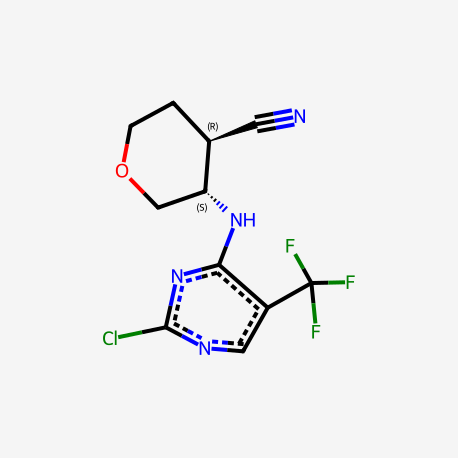 N#C[C@@H]1CCOC[C@H]1Nc1nc(Cl)ncc1C(F)(F)F